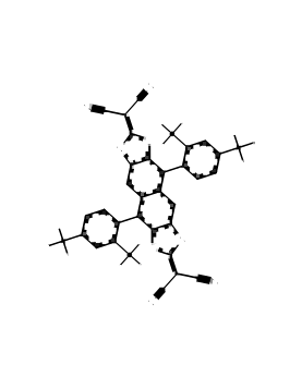 N#CC(C#N)=c1nc2cc3c(-c4ccc(C(F)(F)F)cc4C(F)(F)F)c4oc(=C(C#N)C#N)nc4cc3c(-c3ccc(C(F)(F)F)cc3C(F)(F)F)c2o1